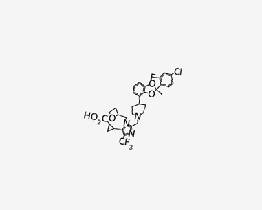 C[C@]1(c2ccc(Cl)cc2F)Oc2cccc(C3CCN(Cc4nc(C(F)(F)F)c(C5CC5C(=O)O)n4C[C@@H]4CCO4)CC3)c2O1